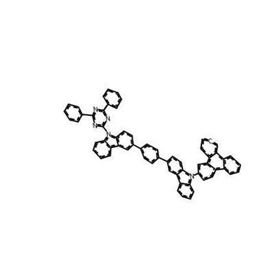 c1ccc(-c2nc(-c3ccccc3)nc(-n3c4ccccc4c4cc(-c5ccc(-c6ccc7c(c6)c6ccccc6n7-c6ccc7c8ccccc8c8ccccc8c7c6)cc5)ccc43)n2)cc1